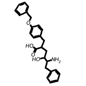 NC(Cc1ccccc1)C(O)CC(Cc1ccc(OCc2ccccc2)cc1)C(=O)O